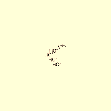 [OH-].[OH-].[OH-].[OH-].[V+4]